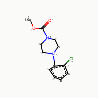 CC(C)(C)OC(=O)N1CCN(c2cc[c]cc2Cl)CC1